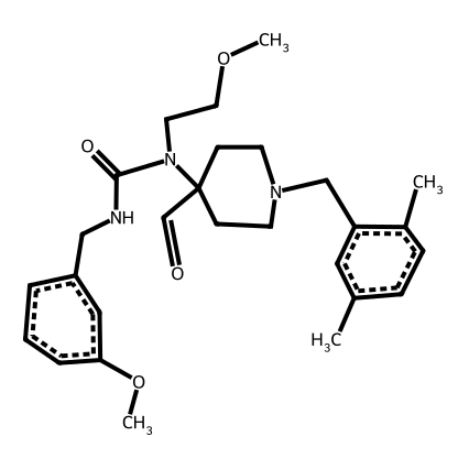 COCCN(C(=O)NCc1cccc(OC)c1)C1(C=O)CCN(Cc2cc(C)ccc2C)CC1